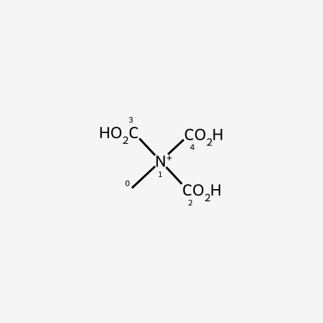 C[N+](C(=O)O)(C(=O)O)C(=O)O